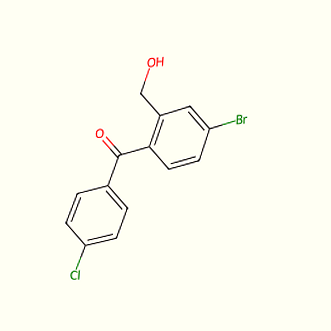 O=C(c1ccc(Cl)cc1)c1ccc(Br)cc1CO